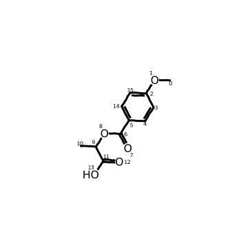 COc1ccc(C(=O)OC(C)C(=O)O)cc1